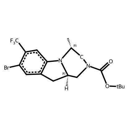 C[C@@H]1CN(C(=O)OC(C)(C)C)C[C@H]2Cc3cc(Br)c(C(F)(F)F)cc3N21